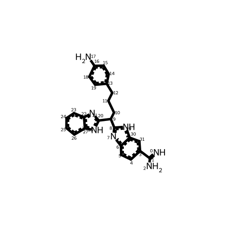 N=C(N)c1ccc2nc(C(CCCc3ccc(N)cc3)c3nc4ccccc4[nH]3)[nH]c2c1